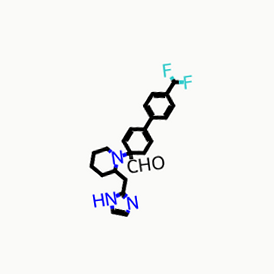 O=CC1(N2CCCCC2Cc2ncc[nH]2)C=CC(c2ccc(C(F)F)cc2)=CC1